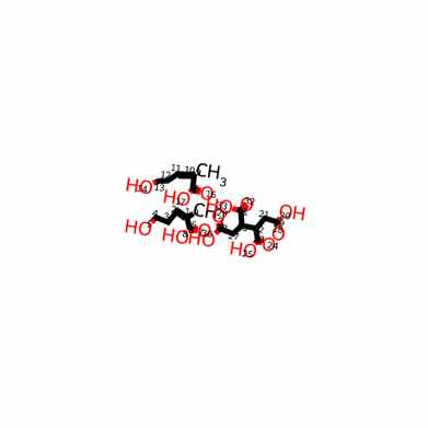 CC(=CCCO)C(=O)O.CC(=CCCO)C(=O)O.O=C(O)CC(C(=O)O)C(CC(=O)O)C(=O)O